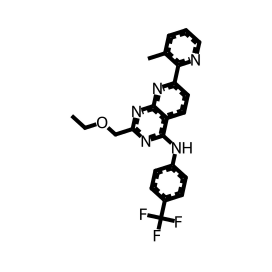 CCOCc1nc(Nc2ccc(C(F)(F)F)cc2)c2ccc(-c3ncccc3C)nc2n1